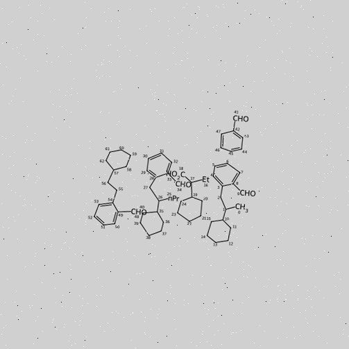 CC(Cc1ccccc1C=O)C1CCCCC1.CCC(C(=O)O)C1CCCCC1.CCCC(Cc1ccccc1C=O)C1CCCCC1.O=Cc1ccccc1.O=Cc1ccccc1CCC1CCCCC1